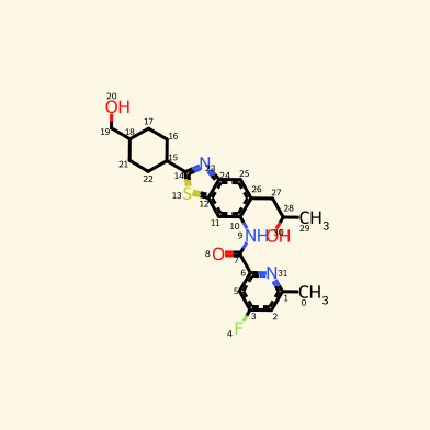 Cc1cc(F)cc(C(=O)Nc2cc3sc(C4CCC(CO)CC4)nc3cc2CC(C)O)n1